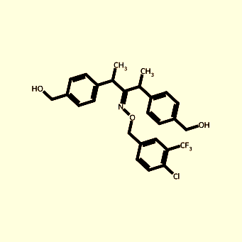 CC(C(=NOCc1ccc(Cl)c(C(F)(F)F)c1)C(C)c1ccc(CO)cc1)c1ccc(CO)cc1